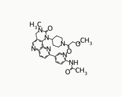 COCC(=O)N1CCC(N2C(=O)N(C)Cc3cnc4ccc(-c5ccc(NC(C)=O)nc5)nc4c32)CC1